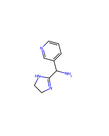 NC(C1=NCCN1)c1cccnc1